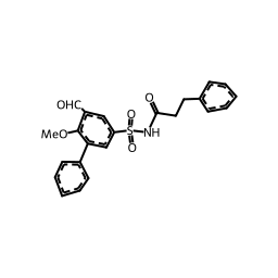 COc1c(C=O)cc(S(=O)(=O)NC(=O)CCc2ccccc2)cc1-c1ccccc1